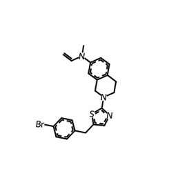 C=CN(C)c1ccc2c(c1)CN(c1ncc(Cc3ccc(Br)cc3)s1)CC2